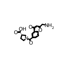 NCc1cc(=O)c2cc(C(=O)N3CC[C@H](C(=O)O)C3)ccc2o1